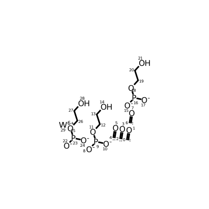 [C]=O.[C]=O.[C]=O.[C]=O.[O-]P([O-])OCCO.[O-]P([O-])OCCO.[O-]P([O-])OCCO.[W+6]